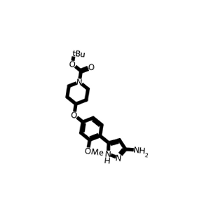 COc1cc(OC2CCN(C(=O)OC(C)(C)C)CC2)ccc1-c1cc(N)n[nH]1